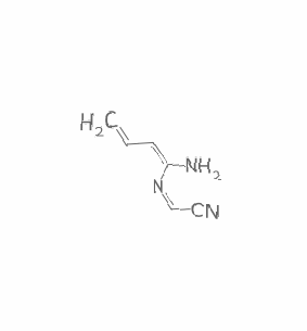 C=C/C=C(N)\N=C/C#N